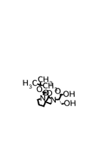 CC(C)(C)OC(=O)N1CCCC12CN([C@@H](CO)C(=O)O)C2=O